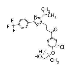 CC(C)c1nc(-c2ccc(C(F)(F)F)cc2)sc1CCC(=O)c1ccc(OC(C)(C)CO)c(Cl)c1